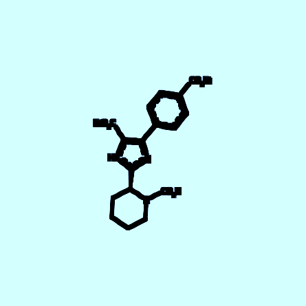 CCOC(=O)c1ccc(-c2nc([C@@H]3CCCCN3C(=O)O)[nH]c2C(=O)OCC)cc1